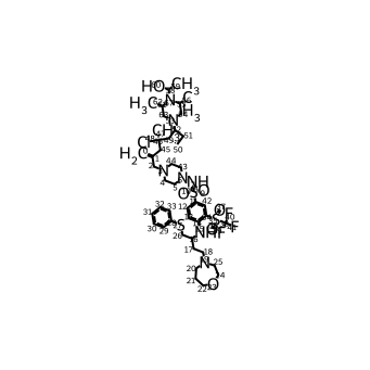 C=C(CN1CCN(NS(=O)(=O)c2ccc(NC(CCN3CCCOCC3)CSc3ccccc3)c(S(=O)(=O)C(F)(F)F)c2)CC1)C[C@@](C)(Cl)[C@H]1CCC1N1CC(C)N(C(C)O)C(C)C1